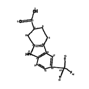 O=C(O)C1CCc2c([nH]c3ccc(C(F)(F)F)cc23)C1